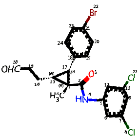 C[C@@]1(C(=O)Nc2cc(Cl)cc(Cl)c2)[C@H](CCC=O)[C@@H]1c1ccc(Br)cc1